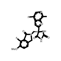 COc1ccc2c(c1F)C(=O)N(C[C@@]1(c3cc4c(F)cnc(C)c4o3)NC(=O)NC1=O)C2